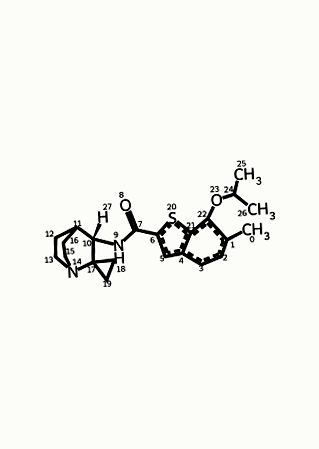 Cc1ccc2cc(C(=O)N[C@H]3C4CCN(CC4)C34CC4)sc2c1OC(C)C